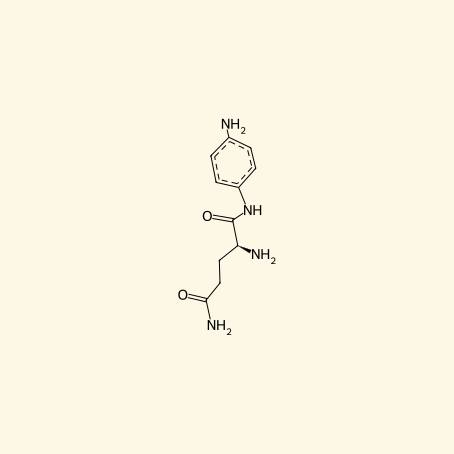 NC(=O)CC[C@H](N)C(=O)Nc1ccc(N)cc1